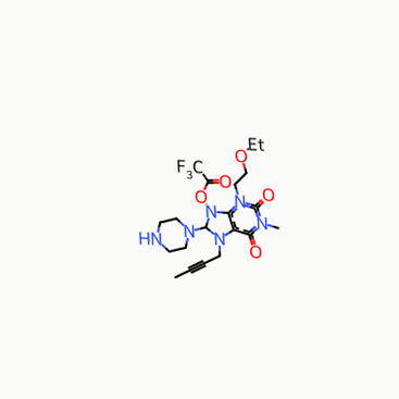 CC#CCN1c2c(n(CCOCC)c(=O)n(C)c2=O)N(OC(=O)C(F)(F)F)C1N1CCNCC1